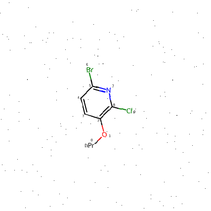 CCCOc1ccc(Br)nc1Cl